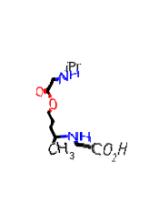 CC(C)NCC(=O)OCCCC(C)NCC(=O)O